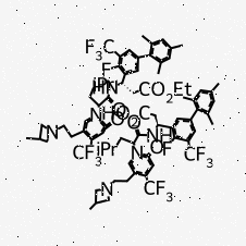 CCOC(=O)C[C@H](NC(=O)C(CC(C)C)n1cc(CCN2CC(C)C2)c(C(F)(F)F)cc1=O)c1cc(-c2c(C)cc(C)cc2C)cc(C(F)(F)F)c1F.Cc1cc(C)c(-c2cc([C@H](CC(=O)O)NC(=O)C(CC(C)C)n3cc(CCN4CC(C)C4)c(C(F)(F)F)cc3=O)c(F)c(C(F)(F)F)c2)c(C)c1